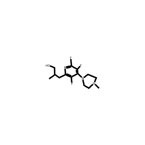 CC(CO)Cc1nc(F)c(F)c(N2CCN(C)CC2)c1F